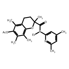 CCN(C(=O)C1(C)CCc2c(C)c(OC(C)=O)c(C)c(C)c2O1)c1cc(C)cc(C)n1